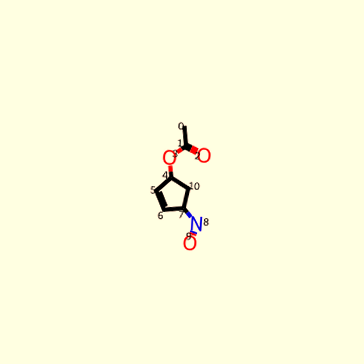 CC(=O)OC1C=CC(N=O)C1